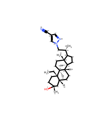 CC[C@]12CC[C@@](C)(O)C[C@H]1CC[C@@H]1[C@@H]2CC[C@]2(C)C([C@@H](C)Cn3cc(C#N)cn3)CC[C@@H]12